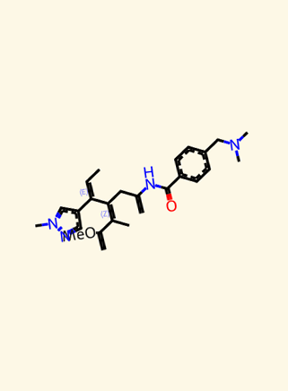 C=C(CC(=C(\C)C(=C)OC)/C(=C\C)c1cnn(C)c1)NC(=O)c1ccc(CN(C)C)cc1